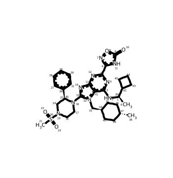 C[C@@H](Nc1nc(-c2noc(=O)[nH]2)nc2nc(N3CCN(S(C)(=O)=O)C[C@H]3c3ccccc3)n(C[C@H]3CC[C@H](C)CC3)c12)C1CCC1